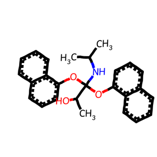 CC(C)NC(Oc1cccc2ccccc12)(Oc1cccc2ccccc12)C(C)O